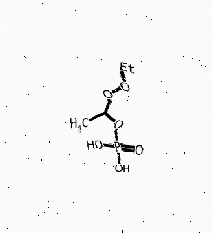 CCOOC(C)OP(=O)(O)O